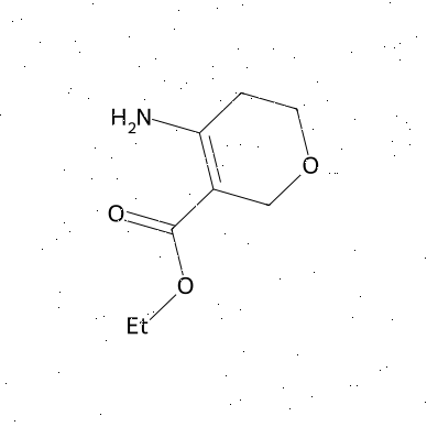 CCOC(=O)C1=C(N)CCOC1